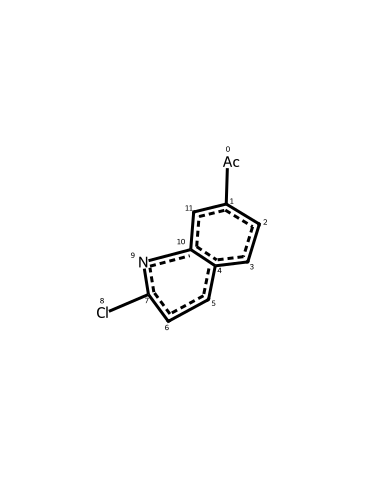 CC(=O)c1ccc2ccc(Cl)nc2c1